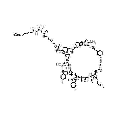 CCCCCCCCCCCCCCCC(=O)N[C@@H](CCC(=O)NCCOCCOC(=O)NCCCC[C@@H]1NC(=O)[C@H](CC(=O)O)NC(=O)[C@H](Cc2c[nH]c3ccc(F)cc23)NC(=O)[C@H](Cc2c[nH]c3ccc(F)cc23)NC(=O)[C@@H](C)NC(=O)[C@H](CCCCN)NC(=O)CCSCc2cccc(c2)CSC[C@@H](C(N)=O)NC(=O)[C@]2(C)CCCN2C(=O)[C@H](Cc2ccc(O)cc2)NC1=O)C(=O)O